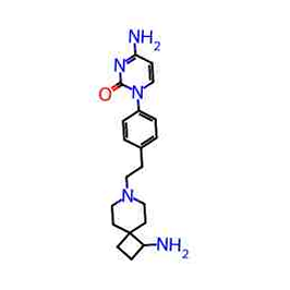 Nc1ccn(-c2ccc(CCN3CCC4(CCC4N)CC3)cc2)c(=O)n1